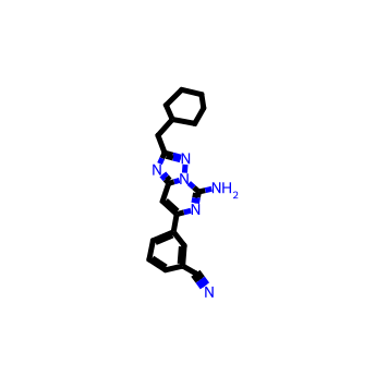 N#Cc1cccc(-c2cc3nc(CC4CCCCC4)nn3c(N)n2)c1